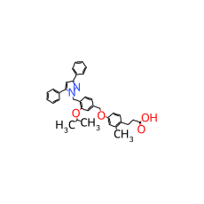 Cc1cc(OCc2ccc(Cn3nc(-c4ccccc4)cc3-c3ccccc3)c(OC(C)C)c2)ccc1CCC(=O)O